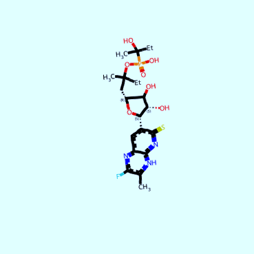 CCC(C)(C[C@H]1O[C@@H](c2cc3nc(F)c(C)[nH]c-3nc2=S)[C@@H](O)C1O)OP(=O)(O)C(C)(O)CC